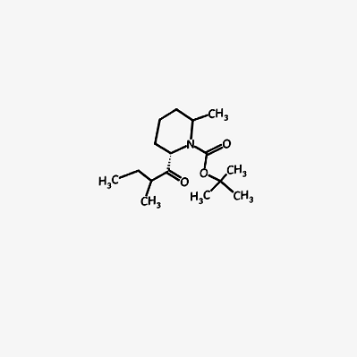 CCC(C)C(=O)[C@@H]1CCCC(C)N1C(=O)OC(C)(C)C